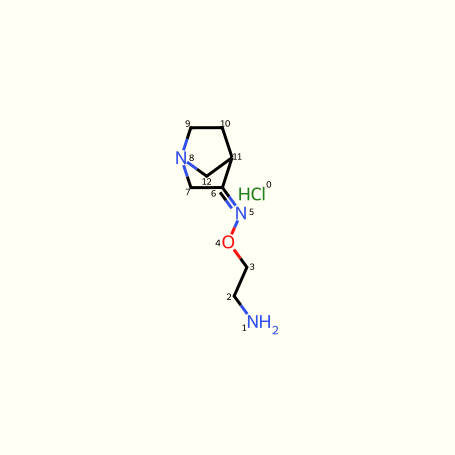 Cl.NCCON=C1CN2CCC1C2